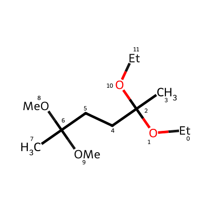 CCOC(C)(CCC(C)(OC)OC)OCC